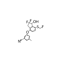 Cc1cc(C#N)cc(Oc2ccc(SCF)c3c2CC(F)(F)C3O)c1